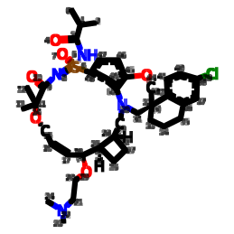 CC(C)C(=O)NS1(=O)=NC(=O)C(C)(C)OCC=C[C@H](OCCN(C)C)[C@@H]2CC[C@H]2CN2C[C@@]3(CCCc4cc(Cl)ccc43)COc3ccc1cc32